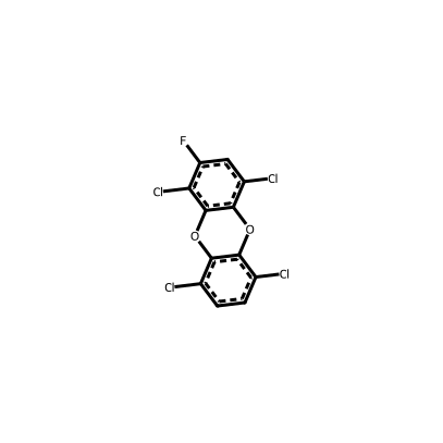 Fc1cc(Cl)c2c(c1Cl)Oc1c(Cl)ccc(Cl)c1O2